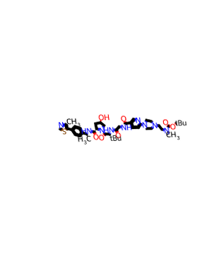 Cc1ncsc1-c1ccc([C@H](C)NC(=O)[C@@H]2C[C@@H](O)CN2C(=O)[C@@H](NC(=O)CNC(=O)c2ccc(N3CCN(CCN(C)C(=O)OC(C)(C)C)CC3)nc2)C(C)(C)C)cc1